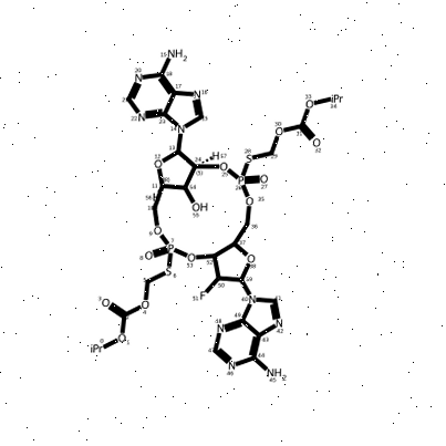 CC(C)OC(=O)OCSP1(=O)OC[C@H]2OC(n3cnc4c(N)ncnc43)[C@@H](OP(=O)(SCOC(=O)OC(C)C)OCC3OC(n4cnc5c(N)ncnc54)C(F)C3O1)C2O